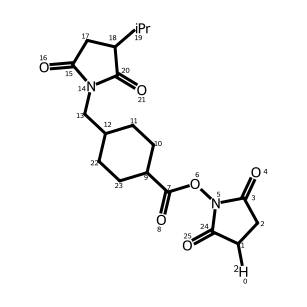 [2H]C1CC(=O)N(OC(=O)C2CCC(CN3C(=O)CC(C(C)C)C3=O)CC2)C1=O